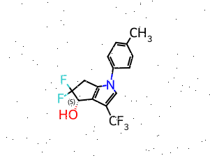 Cc1ccc(-n2cc(C(F)(F)F)c3c2CC(F)(F)[C@H]3O)cc1